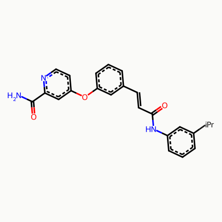 CC(C)c1cccc(NC(=O)/C=C/c2cccc(Oc3ccnc(C(N)=O)c3)c2)c1